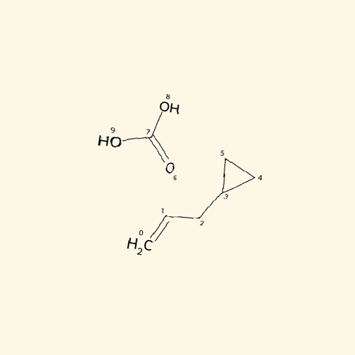 C=CCC1CC1.O=C(O)O